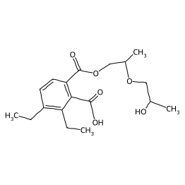 CCc1ccc(C(=O)OCC(C)OCC(C)O)c(C(=O)O)c1CC